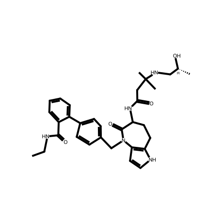 CCNC(=O)c1ccccc1-c1ccc(CN2C(=O)C(NC(=O)CC(C)(C)NC[C@@H](C)O)CCc3[nH]ccc32)cc1